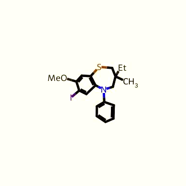 CCC1(C)CSc2cc(OC)c(I)cc2N(c2ccccc2)C1